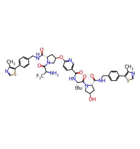 Cc1ncsc1-c1ccc(CNC(=O)[C@@H]2C[C@@H](Oc3ccc(C(=O)N[C@H](C(=O)N4C[C@H](O)C[C@H]4C(=O)NCc4ccc(-c5scnc5C)cc4)C(C)(C)C)cn3)CN2C(=O)C(N)C(F)(F)F)cc1